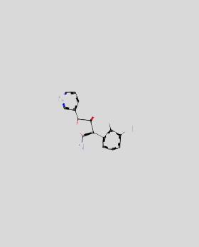 NC1=C(c2cccc(C(F)(F)F)c2Br)C(=O)C(c2cccnc2)O1